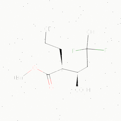 CC(F)(F)C[C@@H](C(=O)O)[C@H](CCC(F)(F)F)C(=O)OC(C)(C)C